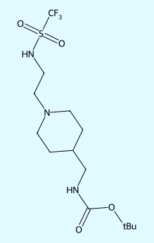 CC(C)(C)OC(=O)NCC1CCN(CCNS(=O)(=O)C(F)(F)F)CC1